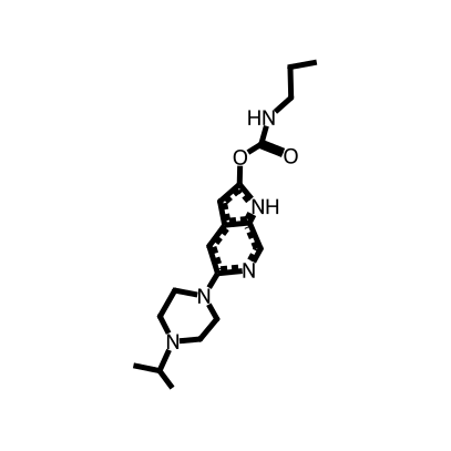 CCCNC(=O)Oc1cc2cc(N3CCN(C(C)C)CC3)ncc2[nH]1